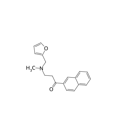 CN(CCC(=O)c1ccc2ccccc2c1)Cc1ccco1